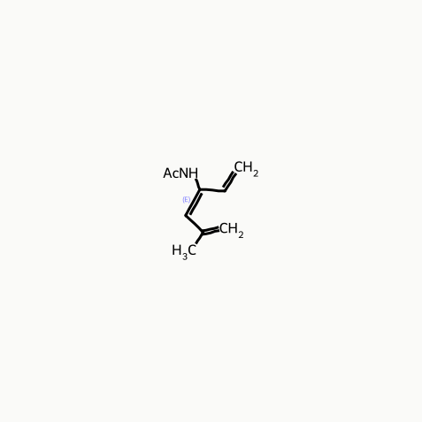 C=C/C(=C\C(=C)C)NC(C)=O